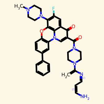 C=C(/N=C\C=C/N)N1CCN(C(=O)c2cn3c4c(c(N5CCN(C)CC5)c(F)cc4c2=O)Oc2ccc(-c4ccccc4)cc2-3)CC1